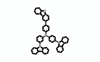 c1cc(N(c2ccc(-c3ccc4oc5ccccc5c4c3)cc2)c2ccc(-n3c4ccccc4c4ccccc43)cc2)cc(-n2c3ccccc3c3ccccc32)c1